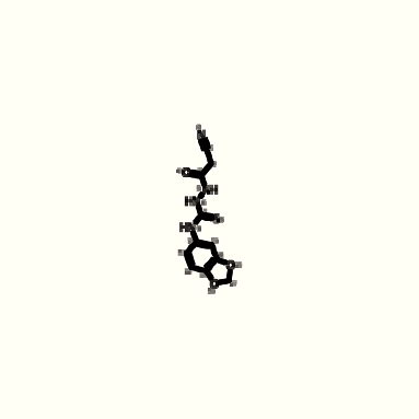 N#CCC(=O)NNC(=S)Nc1ccc2c(c1)OCO2